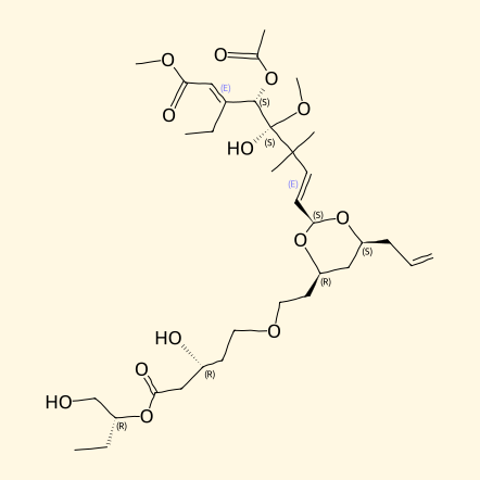 C=CC[C@H]1C[C@@H](CCOCC[C@@H](O)CC(=O)O[C@H](CC)CO)O[C@@H](/C=C/C(C)(C)[C@](O)(OC)[C@@H](OC(C)=O)/C(=C/C(=O)OC)CC)O1